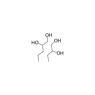 CCC(O)CO.CCCC(O)CO